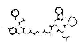 CC(C)C[C@H](NC(=O)N1CCCCCC1)C(=O)N[C@H](Cc1c[nH]c2ccccc12)C(=O)N[C@H](C)C(=O)NCCC(=O)N[C@@H](Cc1ccc(O)cc1)C(=O)N[C@H](Cc1ccccc1)C(=O)O